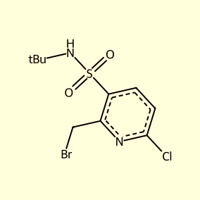 CC(C)(C)NS(=O)(=O)c1ccc(Cl)nc1CBr